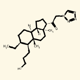 CC[C@H]1CC[C@H]2[C@@H]3CC[C@H](C(=O)Cn4cnnn4)[C@@]3(C)CC[C@]2(C)[C@H]1CCCO